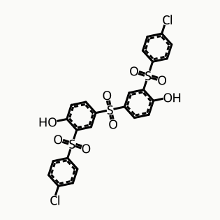 O=S(=O)(c1ccc(O)c(S(=O)(=O)c2ccc(Cl)cc2)c1)c1ccc(O)c(S(=O)(=O)c2ccc(Cl)cc2)c1